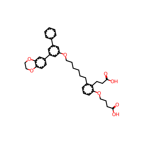 O=C(O)CCCOc1cccc(CCCCCCOc2cc(-c3ccccc3)cc(-c3ccc4c(c3)OCCO4)c2)c1CCC(=O)O